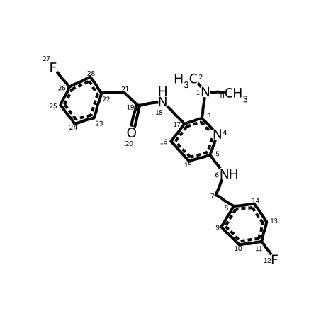 CN(C)c1nc(NCc2ccc(F)cc2)ccc1NC(=O)Cc1cccc(F)c1